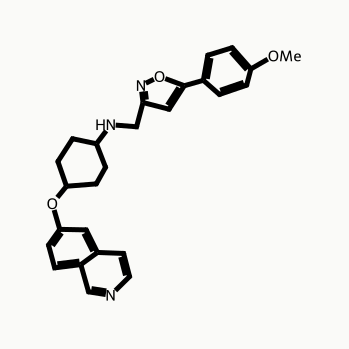 COc1ccc(-c2cc(CNC3CCC(Oc4ccc5cnccc5c4)CC3)no2)cc1